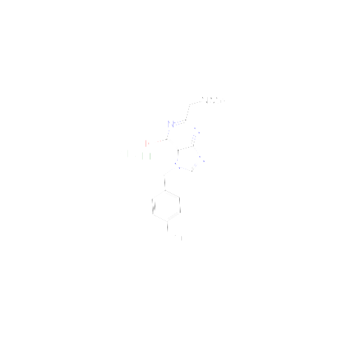 CNCc1nc(O)c2c(ncn2Cc2ccc(C(C)(C)C)cc2)n1.Cl.Cl